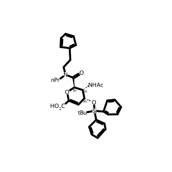 CCCN(CCc1ccccc1)C(=O)[C@@H]1OC(C(=O)O)=C[C@@H](O[Si](c2ccccc2)(c2ccccc2)C(C)(C)C)[C@H]1NC(C)=O